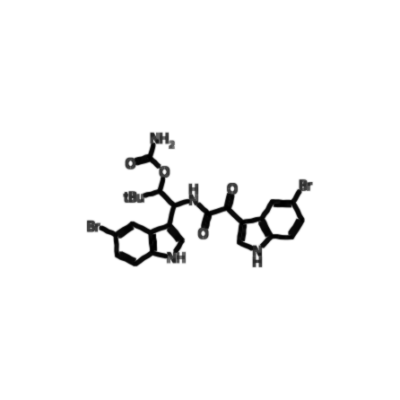 CC(C)(C)C(OC(N)=O)C(NC(=O)C(=O)c1c[nH]c2ccc(Br)cc12)c1c[nH]c2ccc(Br)cc12